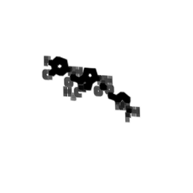 Cn1cc2c(c1C(=O)Nc1ccc(F)c(Cl)c1)CCC2NC(=O)OCc1ccn(PI)n1